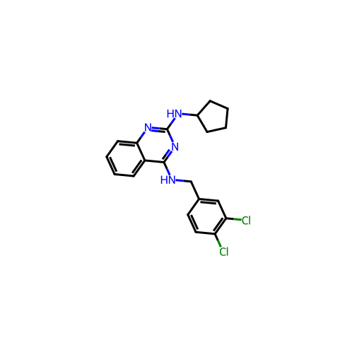 Clc1ccc(CNc2nc(NC3CCCC3)nc3ccccc23)cc1Cl